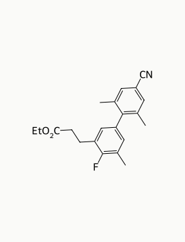 CCOC(=O)CCc1cc(-c2c(C)cc(C#N)cc2C)cc(C)c1F